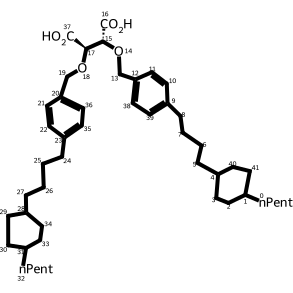 CCCCCC1CCC(CCCCc2ccc(CO[C@@H](C(=O)O)[C@@H](OCc3ccc(CCCCC4CCC(CCCCC)CC4)cc3)C(=O)O)cc2)CC1